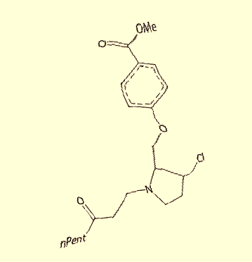 CCCCCC(=O)CCN1CCC(Cl)C1COc1ccc(C(=O)OC)cc1